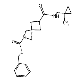 O=C(NCC1(C(F)(F)F)CC1)C1CC2(C1)CN(C(=O)OCc1ccccc1)C2